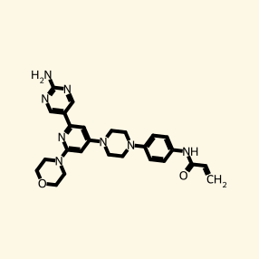 C=CC(=O)Nc1ccc(N2CCN(c3cc(-c4cnc(N)nc4)nc(N4CCOCC4)c3)CC2)cc1